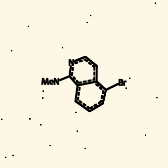 CNc1nccc2c(Br)cccc12